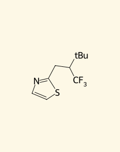 CC(C)(C)C(Cc1nccs1)C(F)(F)F